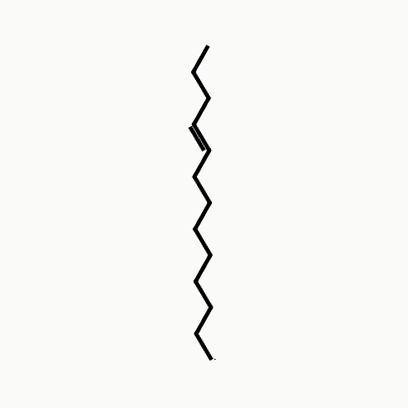 [CH2]CCCCCCCC=CCCC